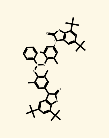 Cc1cc(C2C(=O)Oc3c2cc(C(C)(C)C)cc3C(C)(C)C)cc(C)c1OP(Oc1c(C)cc([C@@H]2C(=O)Oc3c2cc(C(C)(C)C)cc3C(C)(C)C)cc1C)c1ccccc1